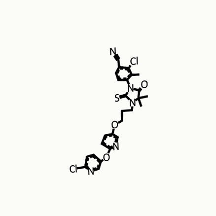 Cc1c(N2C(=O)C(C)(C)N(CCCOc3ccc(Oc4ccc(Cl)nc4)nc3)C2=S)ccc(C#N)c1Cl